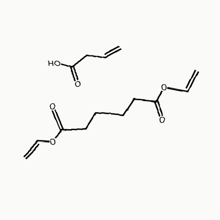 C=CCC(=O)O.C=COC(=O)CCCCC(=O)OC=C